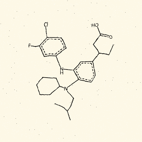 CCC(CC(=O)O)c1ccc(N(CC(C)C)C2CCCCC2)c(Nc2ccc(Cl)c(F)c2)c1